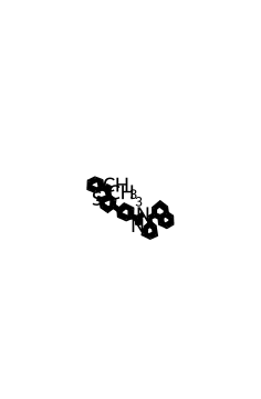 CC1(C)c2ccccc2Sc2ccc(-c3ccc(-c4nc(C5CC=Cc6ccccc65)c5ccccc5n4)cc3)cc21